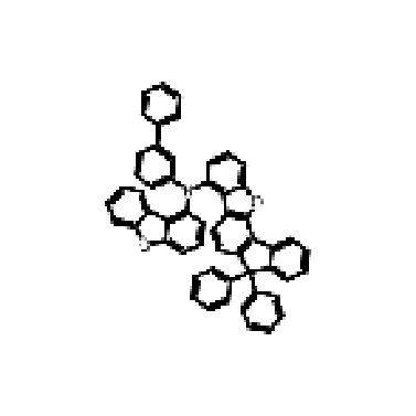 c1ccc(-c2cccc(N(c3cccc4oc5ccccc5c34)c3cccc4oc5c6c(ccc5c34)C(c3ccccc3)(c3ccccc3)c3ccccc3-6)c2)cc1